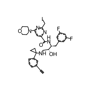 C#Cc1cccc(C2(NC[C@@H](O)[C@H](Cc3cc(F)cc(F)c3)NC(=O)c3cc(N4CCOCC4)nc(CI)n3)CC2)c1